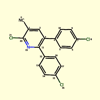 N#Cc1cc(-c2ccc(Cl)cc2)c(-c2ccc(Cl)cc2)nc1Cl